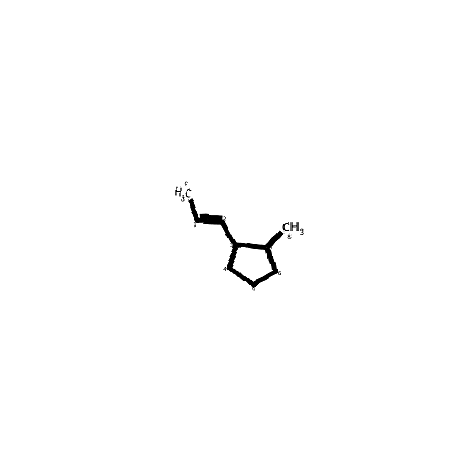 CC=CC1CCCC1C